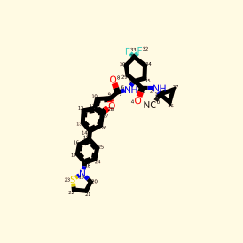 N#CC1(NC(=O)C2(NC(=O)c3cc4ccc(-c5ccc(N6CCCS6)cc5)cc4o3)CCC(F)(F)CC2)CC1